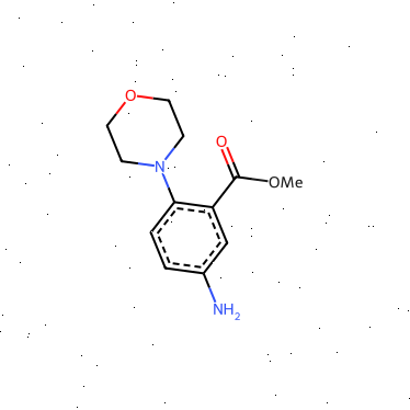 COC(=O)c1cc(N)ccc1N1CCOCC1